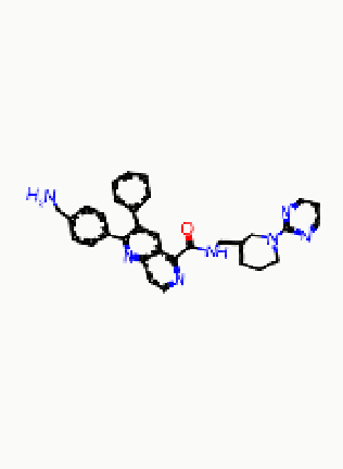 NCc1ccc(-c2nc3ccnc(C(=O)NCC4CCCN(c5ncccn5)C4)c3cc2-c2ccccc2)cc1